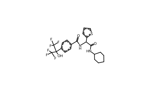 O=C(NC(C(=O)NC1CCCCC1)c1cccs1)c1ccc(C(O)(C(F)(F)F)C(F)(F)F)cc1